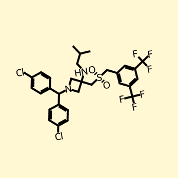 CC(C)CNC1(CS(=O)(=O)Cc2cc(C(F)(F)F)cc(C(F)(F)F)c2)CN(C(c2ccc(Cl)cc2)c2ccc(Cl)cc2)C1